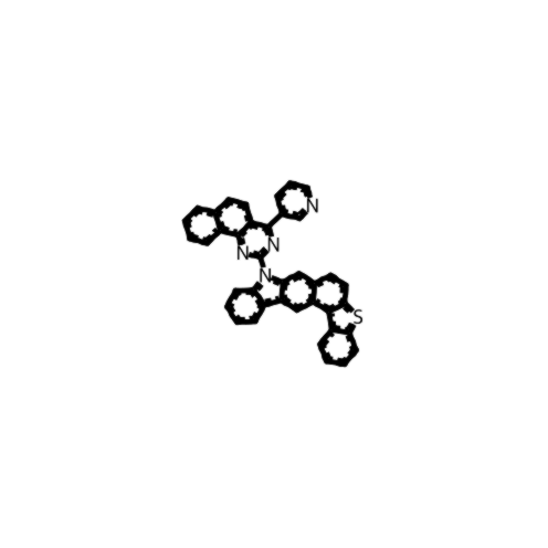 c1cncc(-c2nc(-n3c4ccccc4c4cc5c(ccc6sc7ccccc7c65)cc43)nc3c2ccc2ccccc23)c1